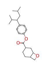 CC(C)CC(c1ccc(OC(=O)C2CCC3COC3C2)cc1)C(C)C